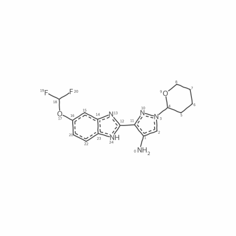 Nc1cn(C2CCCCO2)nc1-c1nc2cc(OC(F)F)ccc2[nH]1